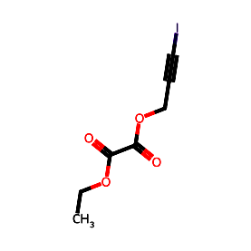 CCOC(=O)C(=O)OCC#CI